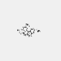 Cc1cc(C)c2c(c1)-c1c3ccc(CC(C)C)cc3cc[n+]1C1CC21C